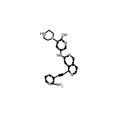 Nc1ncccc1C#Cc1nccc2cnc(Nc3cnc(O)c(N4CCNCC4)c3)cc12